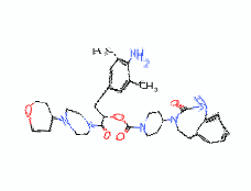 Cc1cc(CC(OC(=O)N2CCC(N3CCc4ccccc4NC3=O)CC2)C(=O)N2CCN(C3CCOCC3)CC2)cc(C)c1N